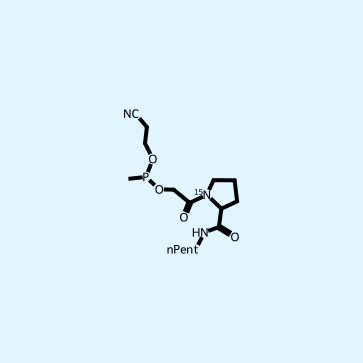 CCCCCNC(=O)C1CCC[15N]1C(=O)COP(C)OCCC#N